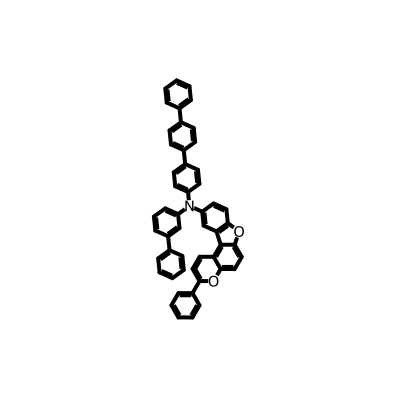 C1=Cc2c(ccc3oc4ccc(N(c5ccc(-c6ccc(-c7ccccc7)cc6)cc5)c5cccc(-c6ccccc6)c5)cc4c23)OC=1c1ccccc1